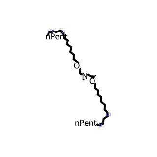 CCCCC/C=C\C/C=C\CCCCCCCCOCCN(C)C[C@@H](C)OCCCCCCCC/C=C\C/C=C\CCCCC